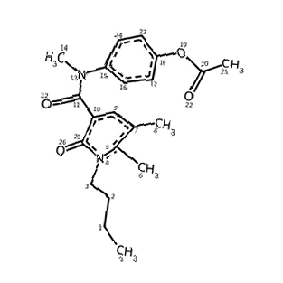 CCCCn1c(C)c(C)cc(C(=O)N(C)c2ccc(OC(C)=O)cc2)c1=O